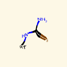 NC(=S)[NH][Rf]